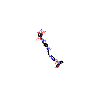 O=C(Nc1ccccc1-c1ccccc1)OC1CCN(CCCCCNc2ccc(CCNC[C@@H](O)c3ccc(O)c4[nH]c(=O)ccc34)cc2)CC1